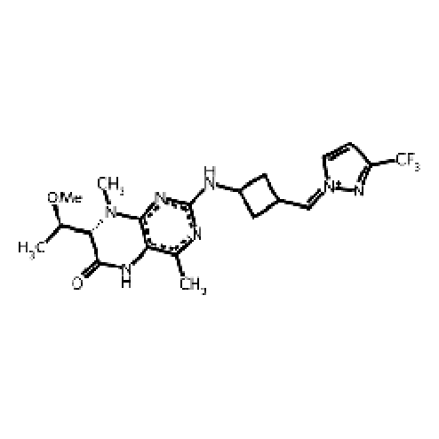 CO[C@H](C)[C@H]1C(=O)Nc2c(C)nc(NC3CC(/C=[N+]4\C=CC(C(F)(F)F)=N4)C3)nc2N1C